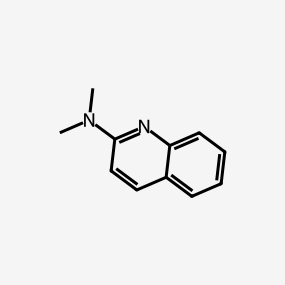 CN(C)c1ccc2ccccc2n1